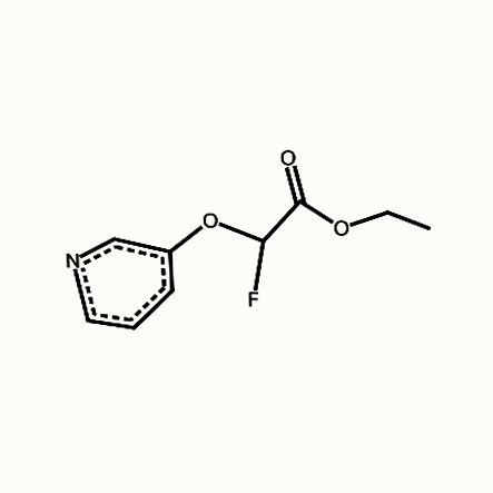 CCOC(=O)C(F)Oc1cccnc1